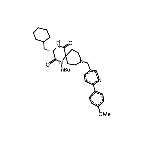 CCCCN1C(=O)[C@H](CC2CCCCC2)NC(=O)C12CCN(Cc1ccc(-c3ccc(OC)cc3)nc1)CC2